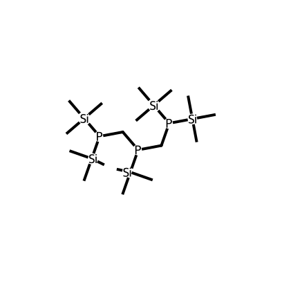 C[Si](C)(C)P(CP([Si](C)(C)C)[Si](C)(C)C)CP([Si](C)(C)C)[Si](C)(C)C